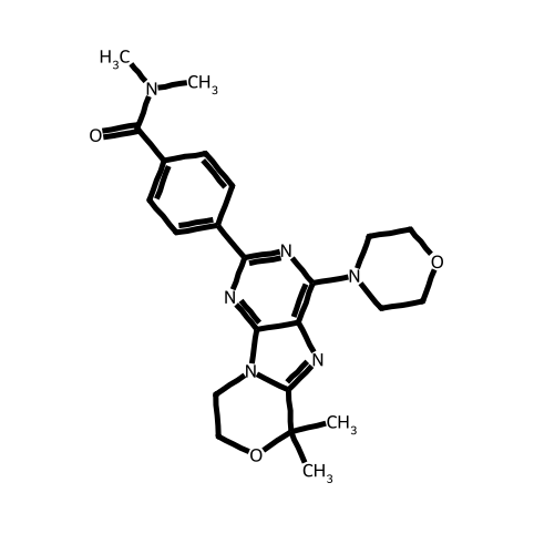 CN(C)C(=O)c1ccc(-c2nc(N3CCOCC3)c3nc4n(c3n2)CCOC4(C)C)cc1